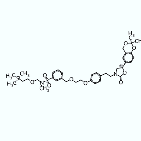 CN(COCC[Si](C)(C)C)S(=O)(=O)c1cccc(COCCOc2ccc(CCN3C[C@@H](c4ccc5c(c4)COC(C)(C)O5)OC3=O)cc2)c1